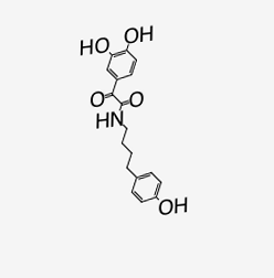 O=C(NCCCCc1ccc(O)cc1)C(=O)c1ccc(O)c(O)c1